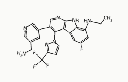 CCNc1cc(F)cc2c1[nH]c1ncc(-c3cncc(CN)c3)c(-n3ccc(C(F)(F)F)n3)c12